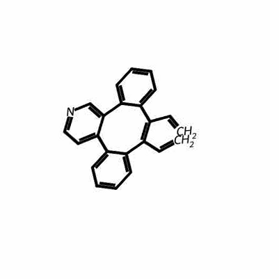 C=C/C1=C(\C=C)c2ccccc2-c2cnccc2-c2ccccc21